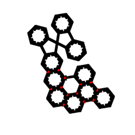 c1ccc(-c2ccccc2-c2c(-c3ccccc3)cccc2N(c2ccc3c(c2)C2(c4ccccc4-c4ccccc42)c2ccccc2-3)c2ccccc2-c2ccccc2)cc1